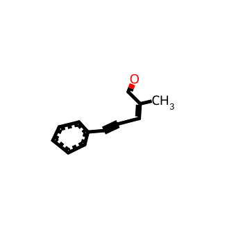 C/C(C=O)=C/C#Cc1ccccc1